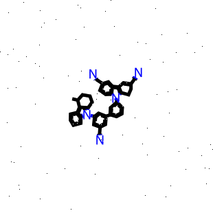 CC1CCCc2c1c1ccccc1n2-c1cc(C#N)cc(-c2cccc(-n3c4c(c5cc(C#N)ccc53)C=C(C#N)CC4)c2)c1